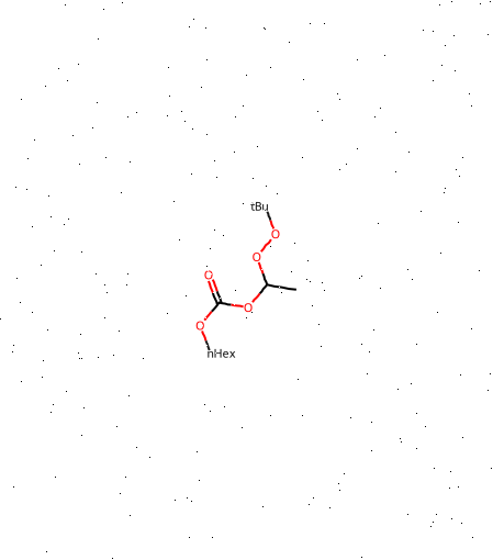 CCCCCCOC(=O)OC(C)OOC(C)(C)C